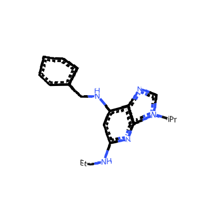 CCNc1cc(NCc2ccccc2)c2ncn(C(C)C)c2n1